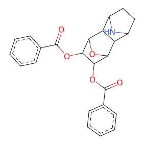 O=C(OC1C(OC(=O)c2ccccc2)C2OC1C1C3CCC(N3)C21)c1ccccc1